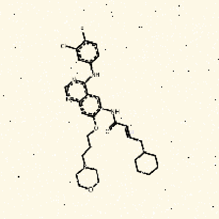 O=C(/C=C/CC1CCCCC1)Nc1cc2c(Nc3ccc(F)c(Cl)c3)ncnc2cc1OCCCN1CCOCC1